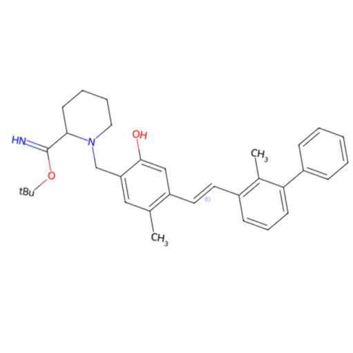 Cc1cc(CN2CCCCC2C(=N)OC(C)(C)C)c(O)cc1/C=C/c1cccc(-c2ccccc2)c1C